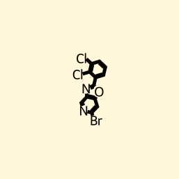 Clc1cccc(-c2nc3cnc(Br)cc3o2)c1Cl